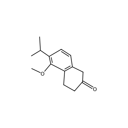 COc1c(C(C)C)ccc2c1CCC(=O)C2